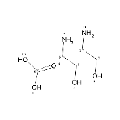 NCCO.NCCO.O=C(O)O